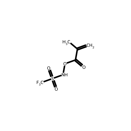 C=C(C)C(=O)ONS(=O)(=O)C(F)(F)F